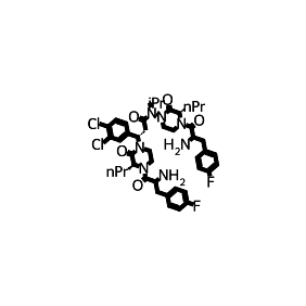 CCC[C@H]1C(=O)N([C@@H](CC(=O)N(C(C)C)N2CCN(C(=O)C(N)Cc3ccc(F)cc3)[C@@H](CCC)C2=O)c2ccc(Cl)c(Cl)c2)CCN1C(=O)C(N)Cc1ccc(F)cc1